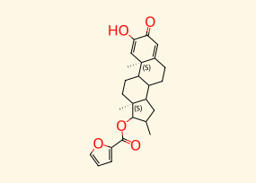 CC1CC2C3CCC4=CC(=O)C(O)=C[C@]4(C)C3CC[C@]2(C)C1OC(=O)c1ccco1